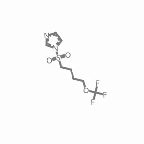 O=S(=O)(CCCCOC(F)(F)F)n1ccnc1